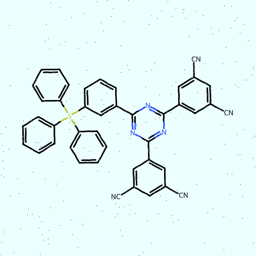 N#Cc1cc(C#N)cc(-c2nc(-c3cc(C#N)cc(C#N)c3)nc(-c3cccc(S(c4ccccc4)(c4ccccc4)c4ccccc4)c3)n2)c1